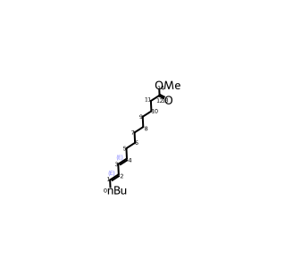 CCCC/C=C/C=C/CCCCCCCC(=O)OC